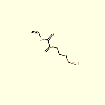 C=COC(=O)C(=C)CCCCO